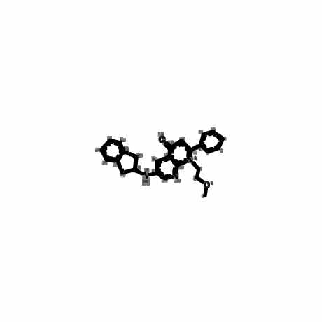 COCCn1c(-c2ccccc2)cc(=O)c2cc(NC3Cc4ccccc4C3)cnc21